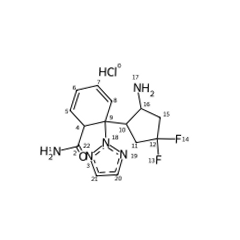 Cl.NC(=O)C1C=CC=CC1(C1CC(F)(F)CC1N)n1nccn1